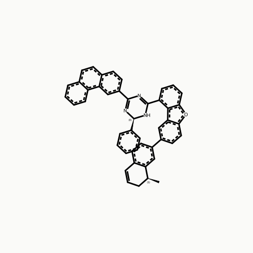 C[C@H]1CC=Cc2ccc(-c3ccc4oc5cccc(C6=NC(c7ccc8ccc9ccccc9c8c7)=N[C@H](c7ccccc7)N6)c5c4c3)cc21